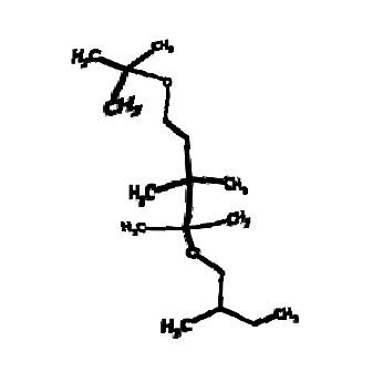 CCC(C)COC(C)(C)C(C)(C)CCOC(C)(C)C